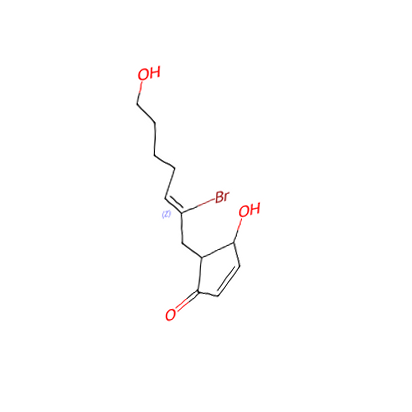 O=C1C=CC(O)C1C/C(Br)=C/CCCCO